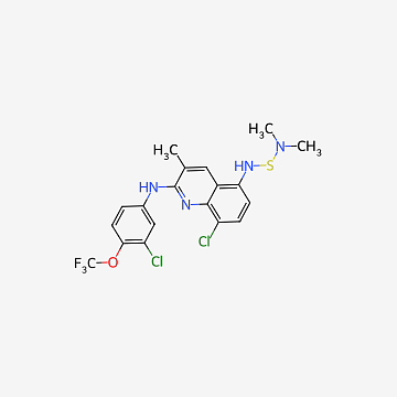 Cc1cc2c(NSN(C)C)ccc(Cl)c2nc1Nc1ccc(OC(F)(F)F)c(Cl)c1